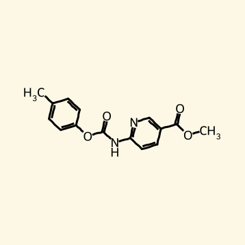 COC(=O)c1ccc(NC(=O)Oc2ccc(C)cc2)nc1